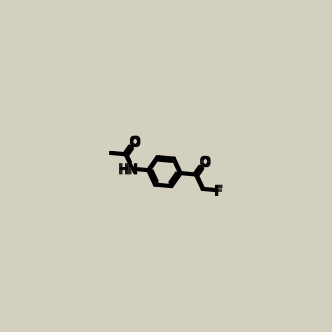 CC(=O)Nc1ccc(C(=O)CF)cc1